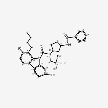 CCCCc1c(F)ccc2c1C(C(=O)N(CC(F)(F)F)N1CCC(NC(=O)c3ccccc3)C1)c1cc(F)ccc1-2